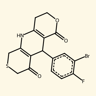 O=C1CSCC2=C1C(c1ccc(F)c(Br)c1)C1=C(CCOC1=O)N2